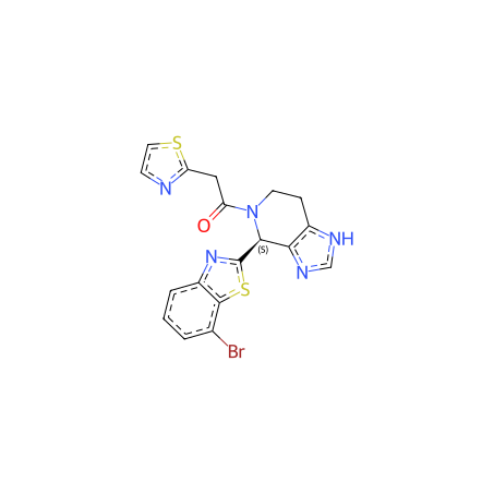 O=C(Cc1nccs1)N1CCc2[nH]cnc2[C@H]1c1nc2cccc(Br)c2s1